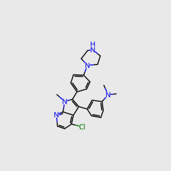 CN(C)c1cccc(-c2c(-c3ccc(N4CCNCC4)cc3)n(C)c3nccc(Cl)c23)c1